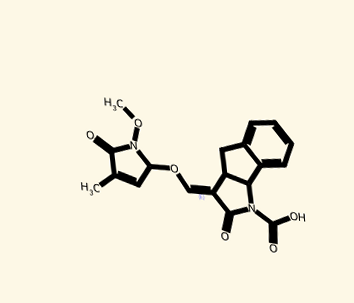 CON1C(=O)C(C)=CC1O/C=C1/C(=O)N(C(=O)O)C2c3ccccc3CC12